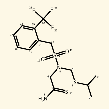 CC(C)SCN(CC(N)=S)S(=O)(=O)Cc1ccccc1C(F)(F)F